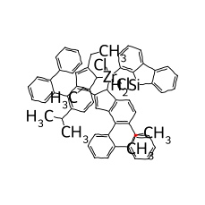 CCC1=Cc2c(ccc(C(C)C)c2-c2ccccc2-c2ccccc2)[CH]1[Zr]([Cl])([Cl])([c]1cccc2c1[SiH2]c1ccccc1-2)[CH]1C(CC)=Cc2c1ccc(C(C)C)c2-c1ccccc1-c1ccccc1